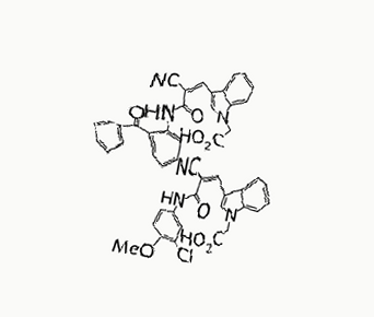 COc1ccc(NC(=O)C(C#N)=Cc2cn(CC(=O)O)c3ccccc23)cc1Cl.N#CC(=Cc1cn(CC(=O)O)c2ccccc12)C(=O)Nc1ccccc1C(=O)c1ccccc1